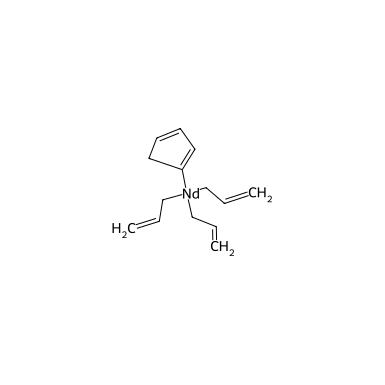 C=C[CH2][Nd]([CH2]C=C)([CH2]C=C)[C]1=CC=CC1